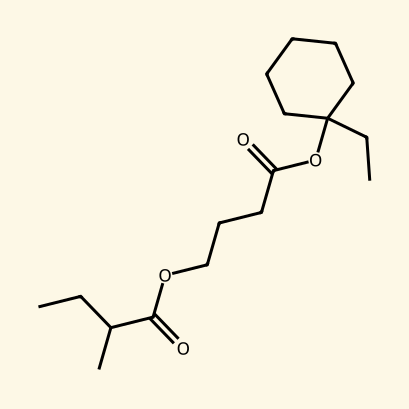 CCC(C)C(=O)OCCCC(=O)OC1(CC)CCCCC1